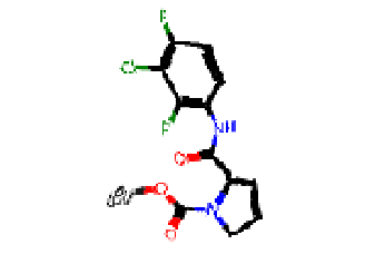 CC(C)(C)OC(=O)N1CC=CC1C(=O)Nc1ccc(F)c(Cl)c1F